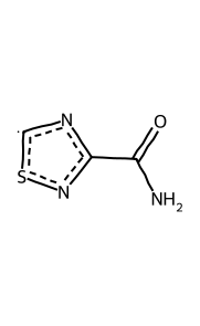 NC(=O)c1n[c]sn1